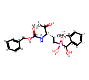 COC(=O)[C@H](CCP(=O)(O)C(O)c1ccccc1C=O)NC(=O)OCc1ccccc1